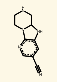 N#Cc1cnc2c(c1)NC1CNCCN21